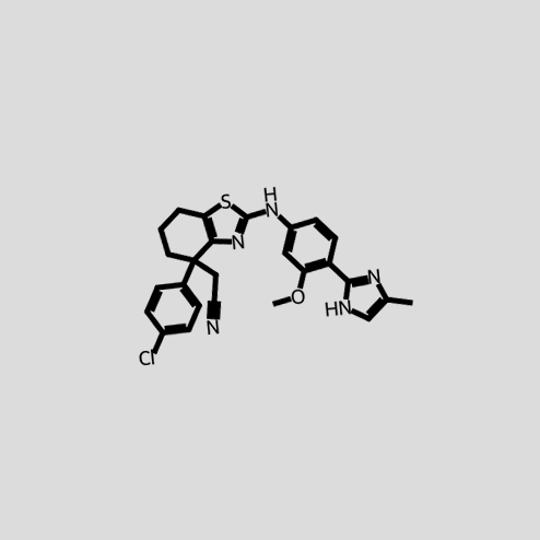 COc1cc(Nc2nc3c(s2)CCCC3(CC#N)c2ccc(Cl)cc2)ccc1-c1nc(C)c[nH]1